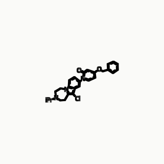 CC(C)N1CCc2c(Cl)c3cc(-n4ccc(OCc5ccccc5)cc4=O)ccc3n2CC1